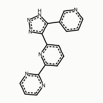 c1cnc(-c2cccc(-c3nn[nH]c3-c3cccnc3)n2)nc1